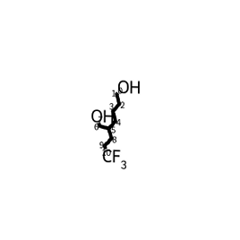 OCCCCC(CO)CCC(F)(F)F